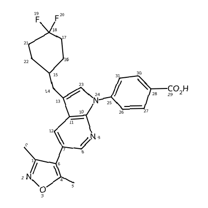 Cc1noc(C)c1-c1cnc2c(c1)c(CC1CCC(F)(F)CC1)cn2-c1ccc(C(=O)O)cc1